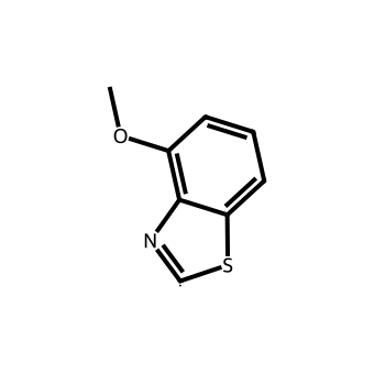 COc1cccc2s[c]nc12